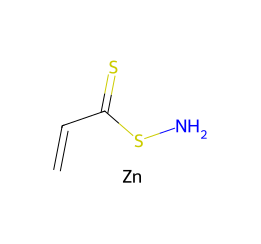 C=CC(=S)SN.[Zn]